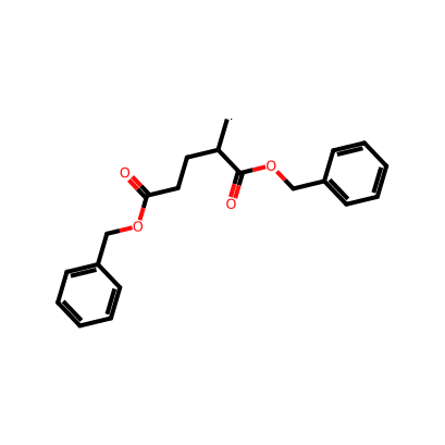 [CH2]C(CCC(=O)OCc1ccccc1)C(=O)OCc1ccccc1